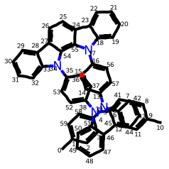 Cc1ccc(N(c2ccc(C)cc2)c2ccc(-n3c4ccccc4c4ccc5c6ccccc6n(-c6ccc(-n7c8ccccc8c8ccccc87)cc6)c5c43)cc2)cc1